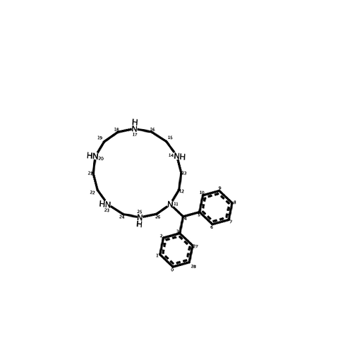 c1ccc(C(c2ccccc2)N2CCNCCNCCNCCNCNC2)cc1